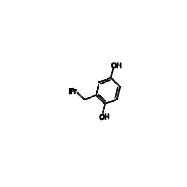 [CH2]C(C)Cc1cc(O)ccc1O